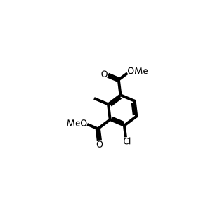 COC(=O)c1ccc(Cl)c(C(=O)OC)c1C